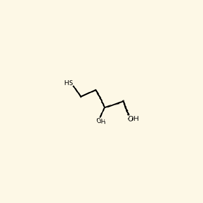 OCC(O)C[CH]S